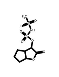 O=C1OC2CCCC2C1OS(=O)(=O)NS(=O)(=O)C(F)(F)F